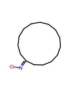 [O]N=C1CCCCCCCCCCCCCC1